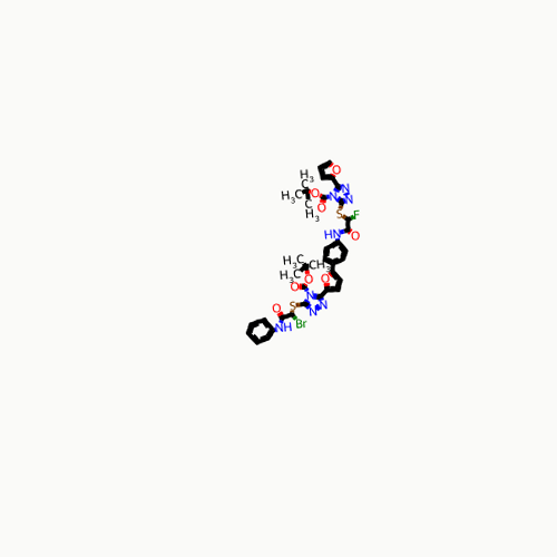 CC(C)(C)OC(=O)n1c(SC(F)C(=O)Nc2ccc(-c3ccc(-c4nnc(SC(Br)C(=O)Nc5ccccc5)n4C(=O)OC(C)(C)C)o3)cc2)nnc1-c1ccco1